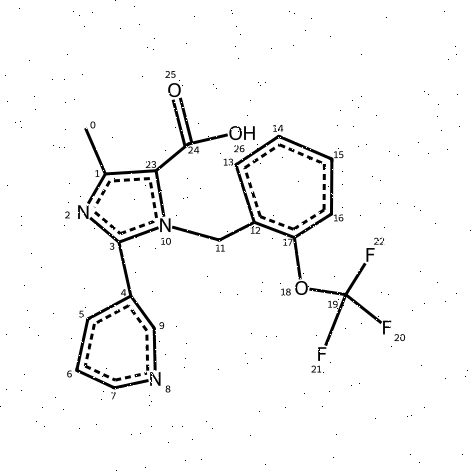 Cc1nc(-c2cccnc2)n(Cc2ccccc2OC(F)(F)F)c1C(=O)O